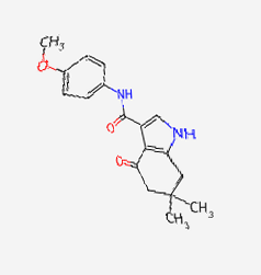 COc1ccc(NC(=O)c2c[nH]c3c2C(=O)CC(C)(C)C3)cc1